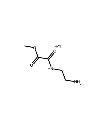 COC(=O)C(=O)NCCN.Cl